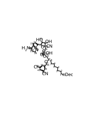 CCCCCCCCCCCCCCCCCC[C@@H](COP(=O)(O)OC[C@@]1(C#N)O[C@@H](c2ccc3c(N)ncnn23)[C@H](O)[C@@H]1O)OCc1cc(Cl)cc(C#N)c1